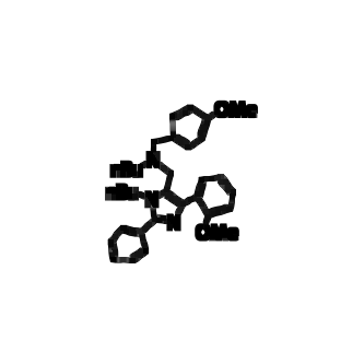 CCCCN(Cc1ccc(OC)cc1)Cc1c(-c2ccccc2OC)nc(-c2ccccc2)n1CCCC